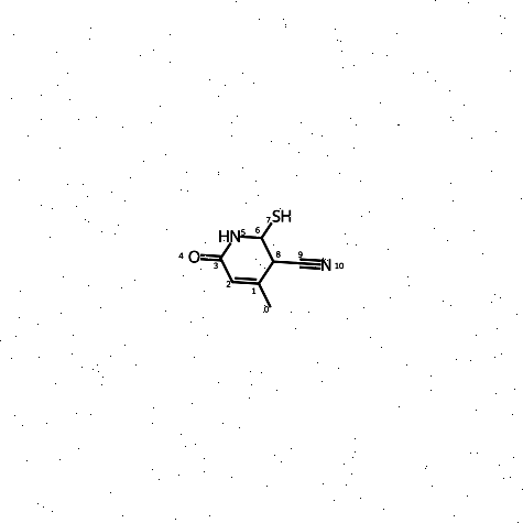 CC1=CC(=O)NC(S)C1C#N